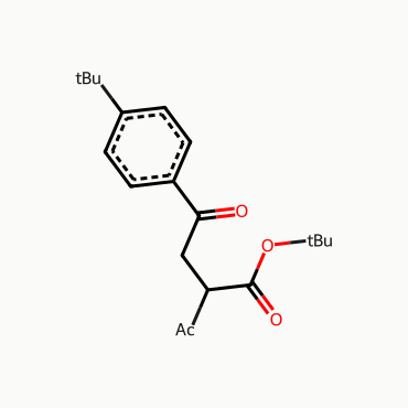 CC(=O)C(CC(=O)c1ccc(C(C)(C)C)cc1)C(=O)OC(C)(C)C